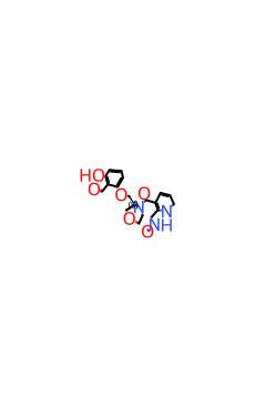 O=Cc1c(O)cccc1OC[C@@H]1COCCN1C(=O)C1=C(CN=O)NCC=C1